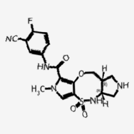 Cn1cc2c(c1C(=O)Nc1ccc(F)c(C#N)c1)OC[C@@H]1CNC[C@@H]1NS2(=O)=O